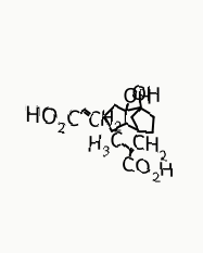 C=C(C)C(=O)O.C=CC(=O)O.OC12CCC(C1)C1CCCC12O